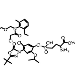 CC(C)Oc1cc(-n2nc(C(C)(C)C)oc2=O)c(Cl)cc1Cl.CCOCN(C(=O)CCl)c1c(C)cccc1CC.CP(=O)(O)CCC(N)C(=O)O